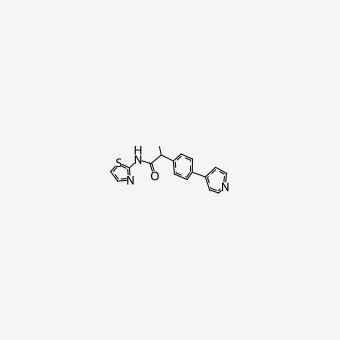 CC(C(=O)Nc1nccs1)c1ccc(-c2ccncc2)cc1